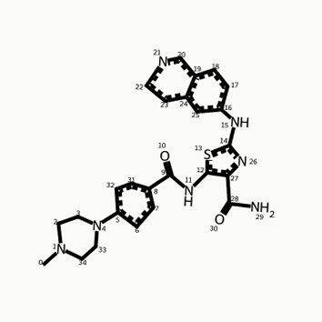 CN1CCN(c2ccc(C(=O)Nc3sc(Nc4ccc5cnccc5c4)nc3C(N)=O)cc2)CC1